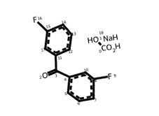 O=C(O)O.O=C(c1cccc(F)c1)c1cccc(F)c1.[NaH]